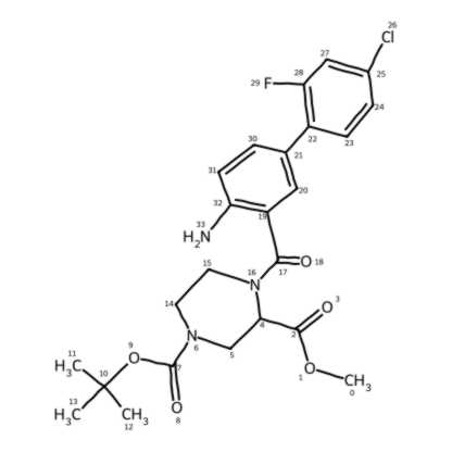 COC(=O)C1CN(C(=O)OC(C)(C)C)CCN1C(=O)c1cc(-c2ccc(Cl)cc2F)ccc1N